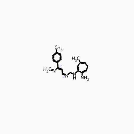 C=N/C(=C\C=N/CNC1=CC(C)=CCC=C1N)c1ccc(C)cc1